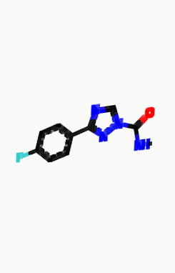 [NH]C(=O)n1cnc(-c2ccc(F)cc2)n1